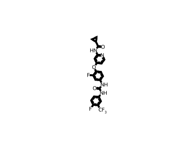 O=C(Nc1ccc(Oc2ccnc(NC(=O)C3CC3)c2)c(F)c1)Nc1ccc(F)c(C(F)(F)F)c1